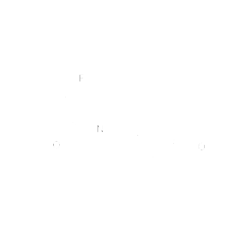 C=C(F)C(=O)N1CC2(CC(=O)C2)C1